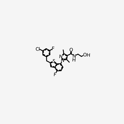 Cc1nn(-c2ccc(F)c3cc(Cc4cc(F)cc(Cl)c4)sc23)c(C)c1C(=O)NCCO